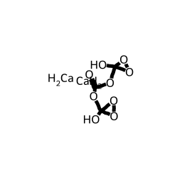 O=C(OC1(O)OO1)OC1(O)OO1.[CaH2].[CaH2]